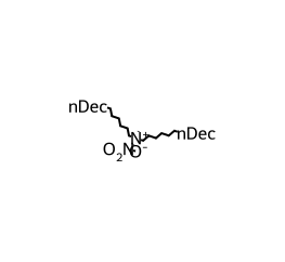 CCCCCCCCCCCCCCCC[N+](C)(C)CCCCCCCCCCCCCCCC.O=[N+]([O-])[O-]